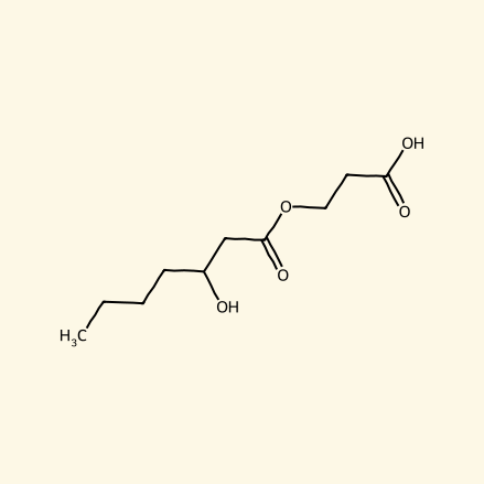 CCCCC(O)CC(=O)OCCC(=O)O